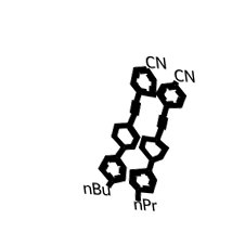 CCCCc1ccc(C2CC=C(C#Cc3ccc(C#N)cc3)CC2)cc1.CCCc1ccc(C2CC=C(C#Cc3ccc(C#N)cc3)CC2)cc1